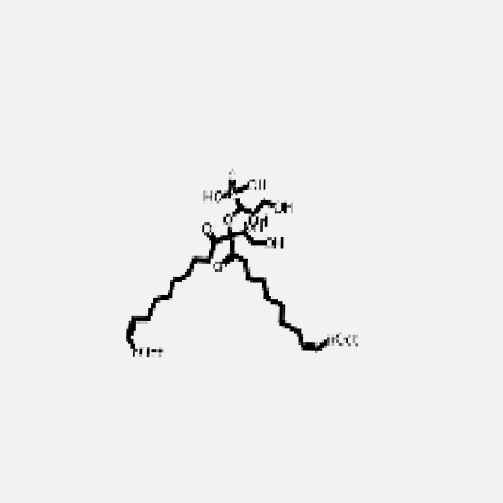 CCCCCCCC/C=C\CCCCCCCC(=O)C(OC(C(O)CO)P(=O)(O)O)(C(=O)CCCCCCC/C=C\CCCCCCCC)[C@@H](O)CO